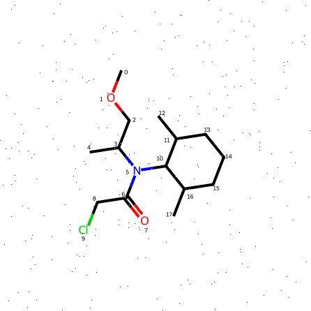 COCC(C)N(C(=O)CCl)C1C(C)CCCC1C